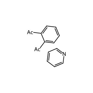 CC(=O)c1ccccc1C(C)=O.c1ccncc1